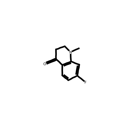 CN1CCC(=O)c2ccc(F)cc21